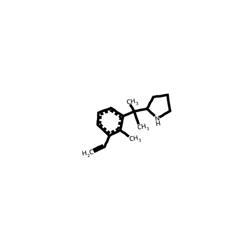 C=Cc1cccc(C(C)(C)C2CCCN2)c1C